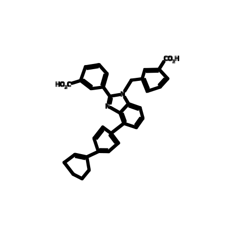 O=C(O)c1cccc(Cn2c(-c3cccc(C(=O)O)c3)nc3c(-c4ccc(C5=CCCCC5)cc4)cccc32)c1